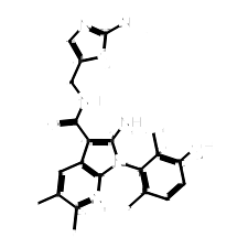 Cc1cc2c(C(=O)NCc3cnc(N)s3)c(N)n(-c3c(C)ccc(O)c3C)c2nc1C